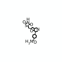 NC(=O)c1ccc(-c2cncc3cc(C=C4SC(=O)NC4=O)oc23)cc1